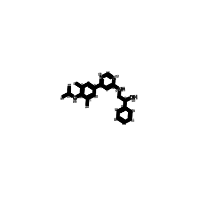 Cc1cc(-c2cc(NCC(O)c3ccccc3)ncn2)cc(C)c1OC(C)C